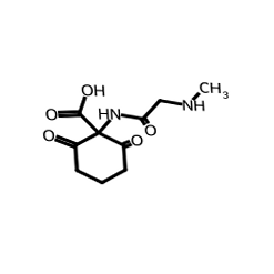 CNCC(=O)NC1(C(=O)O)C(=O)CCCC1=O